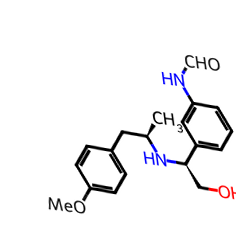 COc1ccc(C[C@@H](C)N[C@H](CO)c2cccc(NC=O)c2)cc1